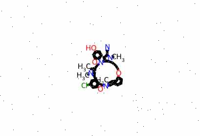 Cc1c2cc(n1C)-c1cc(Cl)ccc1C(=O)N1Cc3cccc(c3CC1C)OCCCc1c(cc(C#N)n1C)N(c1ccc(O)cc1)C2=O